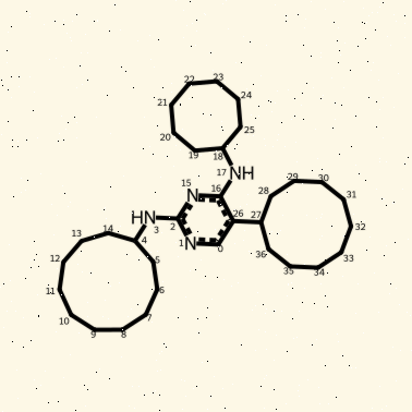 c1nc(NC2CCCCCCCCCC2)nc(NC2CCCCCCC2)c1C1CCCCCCCCC1